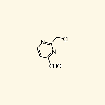 O=Cc1ccnc(CCl)n1